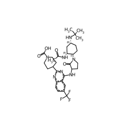 CC(=O)N[C@@H]1C[C@H](NC(C)(C)C)CC[C@@H]1N1CCC(Nc2nc(C3CCN(C(=O)O)CC3)nc3ccc(C(F)(F)F)cc23)C1=O